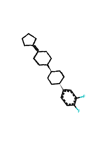 Fc1ccc([C@H]2CC[C@H](C3CCC(=C4CCCC4)CC3)CC2)cc1F